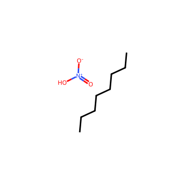 CCCCCCCC.O=[N+]([O-])O